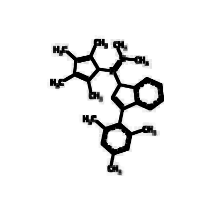 CC1=C(C)[CH]([Zr]([CH]2C=C(c3c(C)cc(C)cc3C)c3ccccc32)=[Si](C)C)C(C)=C1C